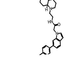 Cc1ccc(-c2ccc3ccn(CC(=O)NCCN4CCC[C@@H]5CCCC[C@H]54)c3c2)cc1